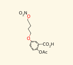 CC(=O)Oc1ccc(OCCCCO[N+](=O)[O-])cc1C(=O)O